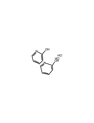 Cl.Cl.Oc1ccccn1.Oc1ccccn1